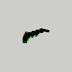 CCCCCc1ccc(-c2ccc(-c3ccc(-c4ccc(C(F)(F)Oc5ccc(Cl)c(F)c5)c(F)c4)c(F)c3)c(F)c2)cc1